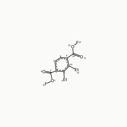 CCc1c(C(=O)OF)ccc(C(=O)OF)c1CC